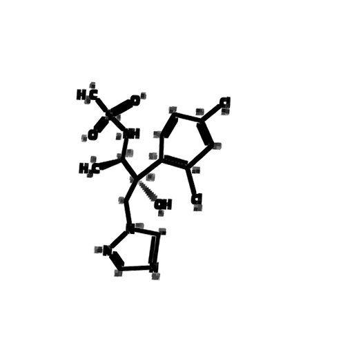 C[C@@H](NS(C)(=O)=O)[C@](O)(Cn1cncn1)c1ccc(Cl)cc1Cl